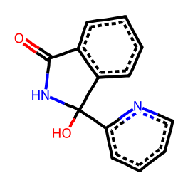 O=C1NC(O)(c2ccccn2)c2ccccc21